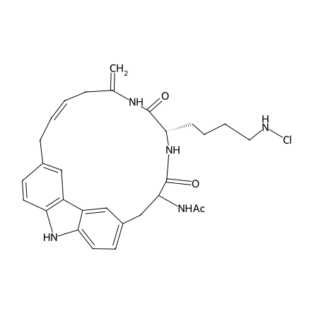 C=C1CC=CCc2ccc3[nH]c4ccc(cc4c3c2)CC(NC(C)=O)C(=O)N[C@@H](CCCCNCl)C(=O)N1